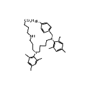 Cc1cc(C)c(N(CCCCN(Cc2ccc(C(C)(C)C)cc2)c2c(C)cc(C)cc2C)CCCNCCCC(=O)O)c(C)c1